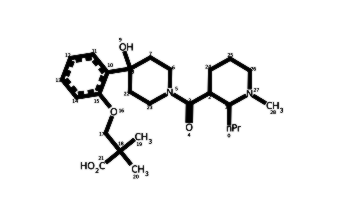 CCCC1C(C(=O)N2CCC(O)(c3ccccc3OCC(C)(C)C(=O)O)CC2)CCCN1C